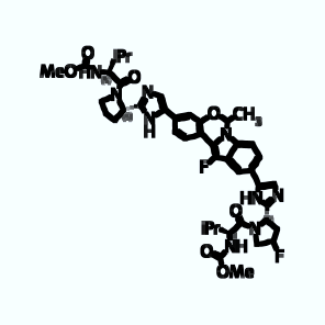 COC(=O)N[C@H](C(=O)N1CCC[C@H]1c1ncc(-c2ccc3c(c2)OC(C)n2c-3c(F)c3cc(-c4cnc([C@@H]5CC(F)CN5C(=O)[C@@H](NC(=O)OC)C(C)C)[nH]4)ccc32)[nH]1)C(C)C